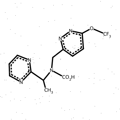 CC(c1ncccn1)N(Cc1ccc(OC(F)(F)F)nn1)C(=O)O